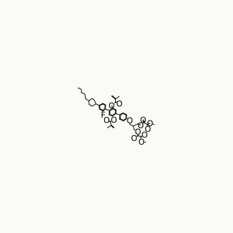 C=C(C)C(=O)Oc1cc(-c2ccc(C3CCC(CCCCC)CC3)cc2F)c(OC(=O)C(=C)C)cc1-c1ccc(OCC(COC(=O)C(=O)OC)COC(=O)C(=O)OC)cc1